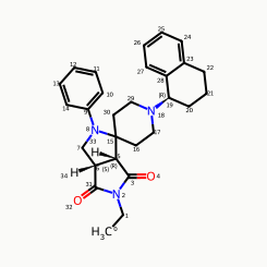 CCN1C(=O)[C@@H]2[C@@H](CN(c3ccccc3)C23CCN([C@@H]2CCCc4ccccc42)CC3)C1=O